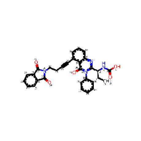 CC[C@H](NC(=O)O)c1nc2cccc(C#CCCN3C(=O)c4ccccc4C3=O)c2c(=O)n1-c1ccccc1